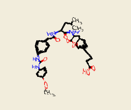 COc1ccc(NC(=O)Nc2ccc(CC(=O)NC(CC(C)C)C(=O)NC(Cc3ccc(CCC(=O)O)cc3)C(=O)O)cc2)cc1